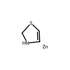 C1=CSCN1.[Zn]